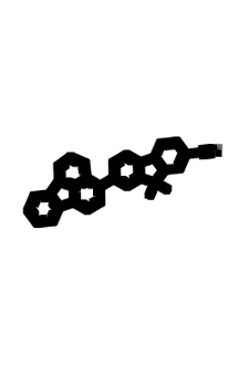 CC1(C)c2cc(-c3ccc4c5c(cccc35)-c3ccccc3-4)ccc2C2C=CC(C#N)=CC21